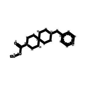 CC(C)(C)OC(=O)N1CCC2(CCN(Cc3ccncc3)CC2)CC1